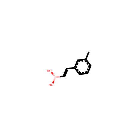 Cc1cccc(/C=C/B(O)O)c1